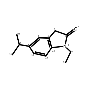 CCN1C(=O)Cc2cc(C(C)C)ccc21